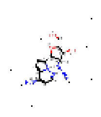 C[C@@]1(N=[N+]=[N-])[C@H](O)[C@@H](CO)O[C@H]1c1ccc2c(N)ccnn12